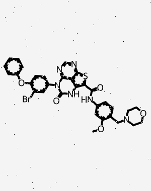 COc1cc(NC(=O)c2sc3ncnc4c3c2NC(=O)N4c2ccc(Oc3ccccc3)c(Br)c2)ccc1CN1CCOCC1